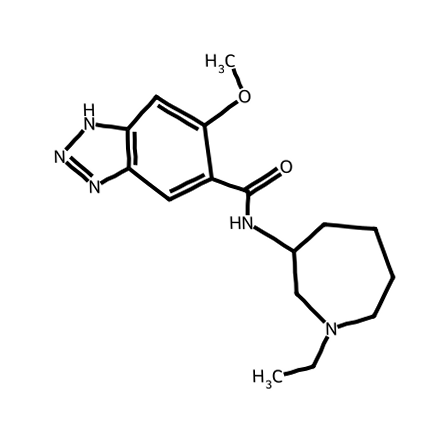 CCN1CCCCC(NC(=O)c2cc3nn[nH]c3cc2OC)C1